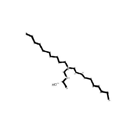 CCCCCCCCCCN(CCCCCCCCCC)CSCC.Cl